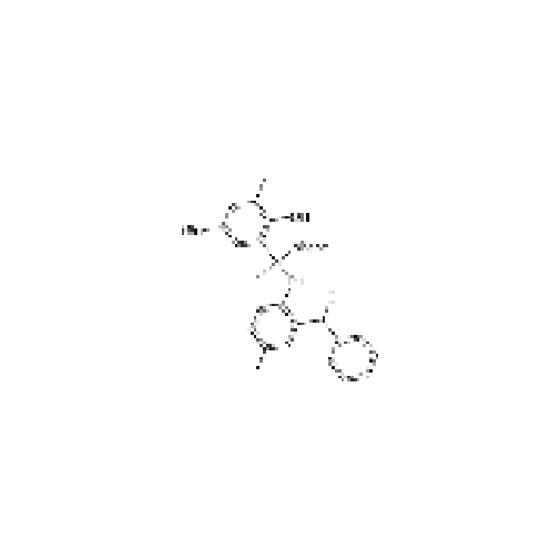 CCCCCC(C)(Pc1ccc(C)cc1C(O)c1ccccc1)c1cc(C(C)(C)C)cc(C)c1O